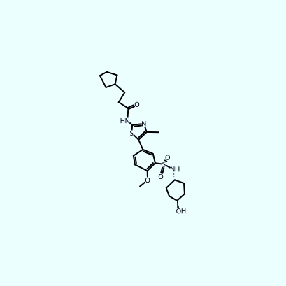 COc1ccc(-c2sc(NC(=O)CCC3CCCC3)nc2C)cc1S(=O)(=O)N[C@H]1CC[C@H](O)CC1